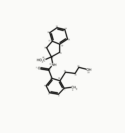 Cc1cccc(C(=O)NC2(C(=O)O)Cc3ccccc3C2)c1CCCO